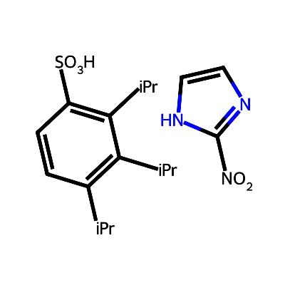 CC(C)c1ccc(S(=O)(=O)O)c(C(C)C)c1C(C)C.O=[N+]([O-])c1ncc[nH]1